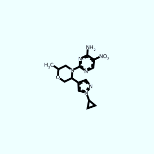 CC1CN(c2ncc([N+](=O)[O-])c(N)n2)C(c2cnn(C3CC3)c2)CO1